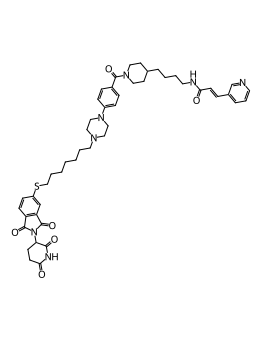 O=C(/C=C/c1cccnc1)NCCCCC1CCN(C(=O)c2ccc(N3CCN(CCCCCCCSc4ccc5c(c4)C(=O)N(C4CCC(=O)NC4=O)C5=O)CC3)cc2)CC1